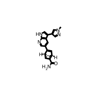 Cn1cc(-c2c[nH]c3ncc(C4=C[C@H]5O[C@@H]4CC5C(N)=O)cc23)cn1